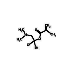 C=C(C)C(=O)OC(Cl)(CC)CN(C)C